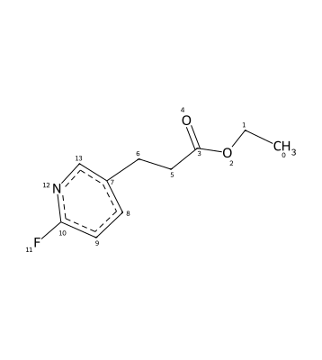 CCOC(=O)CCc1ccc(F)nc1